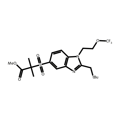 COC(=O)C(C)(C)S(=O)(=O)c1ccc2c(c1)nc(CC(C)(C)C)n2CCOC(F)(F)F